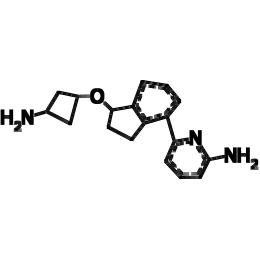 Nc1cccc(-c2cccc3c2CCC3OC2CC(N)C2)n1